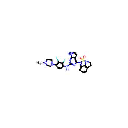 CN1CCN(c2ccc(Nc3nc(N4c5cccc6c5N(CC6)S4(=O)=O)c4cc[nH]c4n3)c(F)c2F)CC1